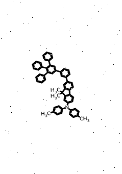 Cc1ccc(N(c2ccc(C)cc2)c2ccc3c(c2)C(C)(C)c2cc(-c4cccc(-c5cc(-c6ccccc6)c(-c6ccccc6)c(-c6ccccc6)c5)c4)ccc2-3)cc1